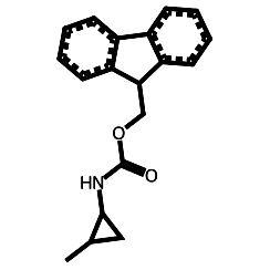 CC1CC1NC(=O)OCC1c2ccccc2-c2ccccc21